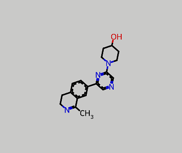 CC1=NCCc2ccc(-c3cncc(N4CCC(O)CC4)n3)cc21